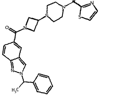 CC(c1ccccc1)n1cc2cc(C(=O)N3CC(N4CCN(C(=O)c5nccs5)CC4)C3)ccc2n1